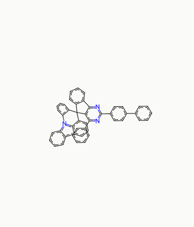 c1ccc(-c2ccc(-c3nc(-c4ccccc4)c4c(n3)-c3ccccc3C43c4ccccc4-n4c5ccccc5c5cccc3c54)cc2)cc1